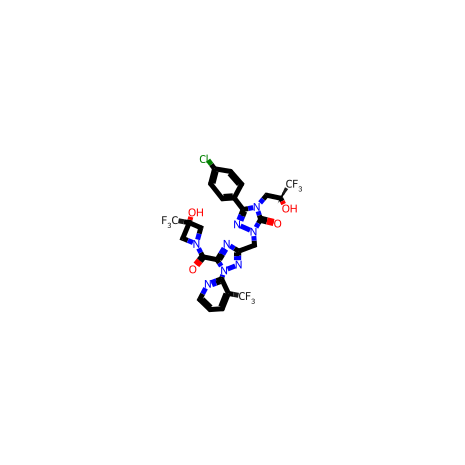 O=C(c1nc(Cn2nc(-c3ccc(Cl)cc3)n(C[C@H](O)C(F)(F)F)c2=O)nn1-c1ncccc1C(F)(F)F)N1CC(O)(C(F)(F)F)C1